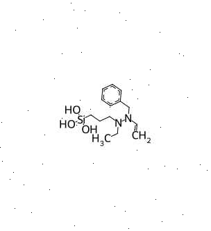 C=CN(Cc1ccccc1)N(CC)CCC[Si](O)(O)O